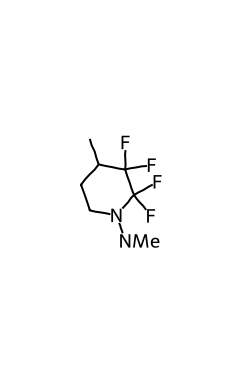 CNN1CCC(C)C(F)(F)C1(F)F